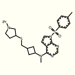 Cc1ccc(S(=O)(=O)n2ccc3c(N(C)C4CC(CSC5CCN(C(C)C)C5)C4)ncnc32)cc1